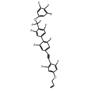 C=CCOc1cc(F)c(C#Cc2cc(F)c(-c3cc(F)c(C(F)(F)Oc4cc(F)c(F)c(F)c4)c(F)c3)c(F)c2)c(F)c1